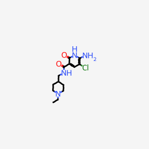 CCN1CCC(CNC(=O)c2cc(Cl)c(N)[nH]c2=O)CC1